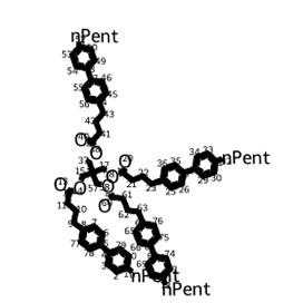 CCCCCc1ccc(-c2ccc(CCCC(=O)OCC(COC(=O)CCCc3ccc(-c4ccc(CCCCC)cc4)cc3)(COC(=O)CCCc3ccc(-c4ccc(CCCCC)cc4)cc3)COC(=O)CCCc3ccc(-c4ccc(CCCCC)cc4)cc3)cc2)cc1